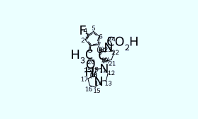 Cc1cc(F)ccc1[C@H]1C[C@@H](N2CCN3CCC[C@H]3C2=O)CCN1C(=O)O